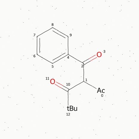 CC(=O)C(C(=O)c1ccccc1)C(=O)C(C)(C)C